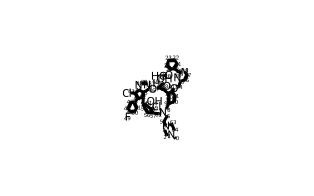 CN1CCN(CCN2Cc3ccc(OCc4ccnc(-c5ccccc5OO)n4)c(c3)C[C@H](C(=O)O)OC3=NC=NC4C(Cl)=C(c5ccc(F)cc5)C(=C34)c3ccc(c(Cl)c3O)C2)CC1